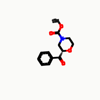 CC(C)(C)OC(=O)N1CCO[C@H](C(=O)c2ccccc2)C1